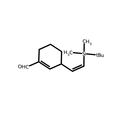 CC(C)(C)[Si](C)(C)/C=C\C1C=C(C=O)CCC1